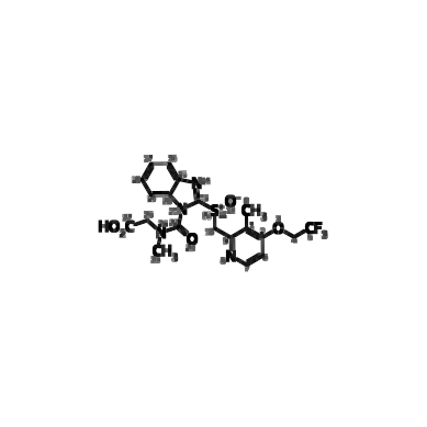 Cc1c(OCC(F)(F)F)ccnc1C[S@@+]([O-])c1nc2ccccc2n1C(=O)N(C)CC(=O)O